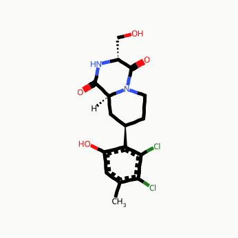 Cc1cc(O)c([C@@H]2CCN3C(=O)[C@@H](CO)NC(=O)[C@@H]3C2)c(Cl)c1Cl